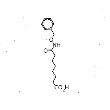 O=C(O)CCCCCCC(=O)NOCc1ccccc1